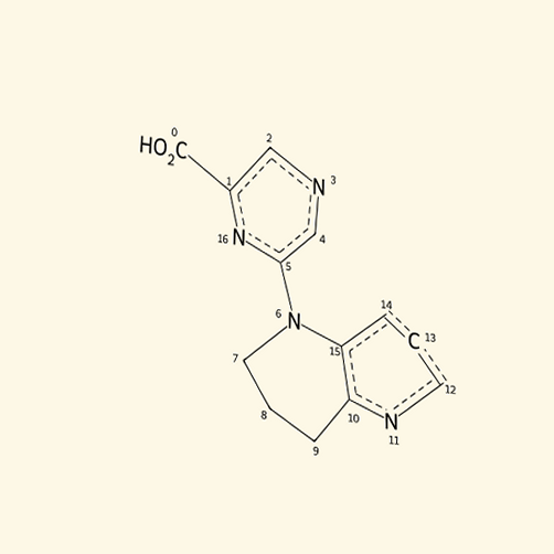 O=C(O)c1cncc(N2CCCc3ncccc32)n1